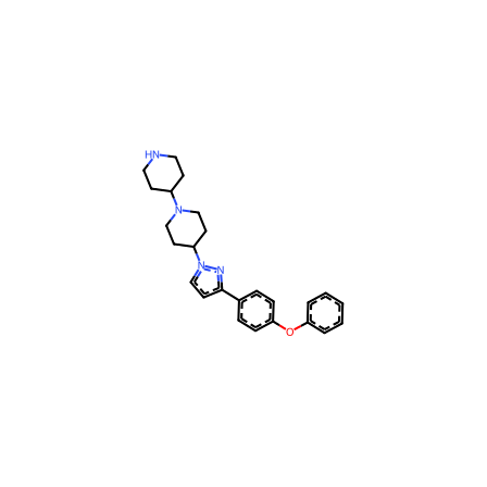 c1ccc(Oc2ccc(-c3ccn(C4CCN(C5CCNCC5)CC4)n3)cc2)cc1